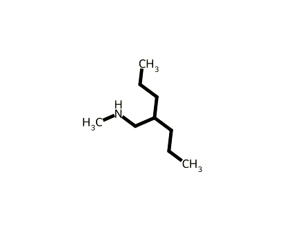 CCCC(CCC)CNC